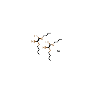 CCCCSC(S)=C(S)SCCCC.CCCCSC(S)=C(S)SCCCC.[Ni]